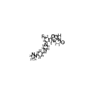 O=C1CCC(N2Cc3c(cc(F)cc3N3CCN(Cc4ccc(-n5cccn5)cc4)CC3)C2=O)C(=O)N1